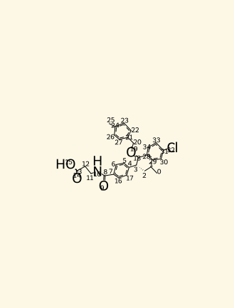 CCC[C@H](c1ccc(C(=O)NCCC(=O)O)cc1)[C@@H](OCc1ccc(C)cc1)c1ccc(Cl)cc1